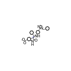 COC(=O)c1ccc2c(c1)NC(=O)/C2=C(\Nc1ccc(-c2nccn2Cc2ccccc2)cc1)c1ccccc1